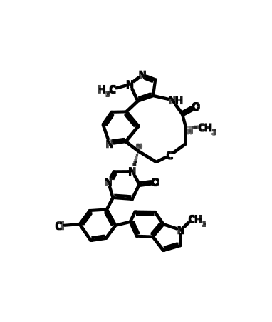 C[C@@H]1CCC[C@H](n2cnc(-c3cc(Cl)ccc3-c3ccc4c(ccn4C)c3)cc2=O)c2cc(ccn2)-c2c(cnn2C)NC1=O